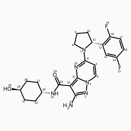 Nc1nn2ccc(N3CCC[C@@H]3c3cc(F)ccc3F)nc2c1C(=O)N[C@H]1CC[C@H](O)CC1